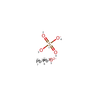 O=S(=O)([O-])[O-].[O-2].[Pb+2].[Pb+2]